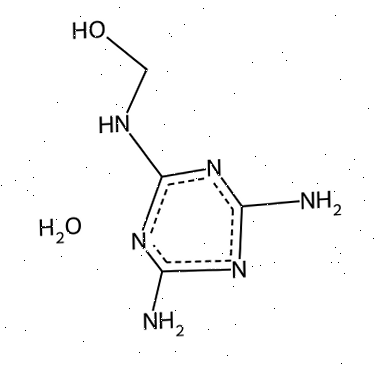 Nc1nc(N)nc(NCO)n1.O